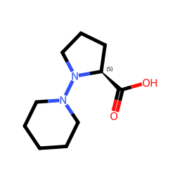 O=C(O)[C@@H]1CCCN1N1CCCCC1